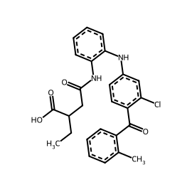 CCC(CC(=O)Nc1ccccc1Nc1ccc(C(=O)c2ccccc2C)c(Cl)c1)C(=O)O